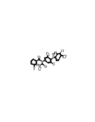 O=C(NCl)N(C(=O)c1cccc(F)c1)c1cc(Cl)c(-n2nnc3c(Cl)c(Cl)ccc32)c(Cl)c1